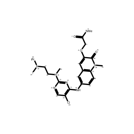 CNC(=O)COc1cc2cc(Nc3nc(N(C)CCN(I)C(C)C)ncc3Cl)ccc2n(C)c1=O